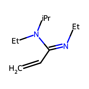 C=CC(=NCC)N(CC)C(C)C